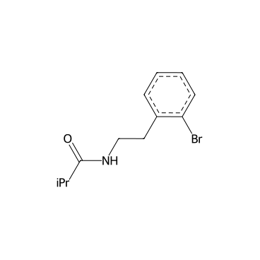 CC(C)C(=O)NCCc1ccccc1Br